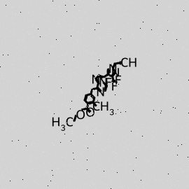 C#CCn1cc(-c2cnc3c(Cc4ccc(C(=O)COCCC)c(C)c4)nccn23)c(C(F)(F)F)n1